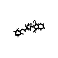 O=C1C2CCCCC2C(=O)N1c1nc(CCc2ccccc2)n[nH]1